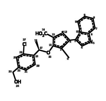 Cc1c(-c2cnc3ccccn23)sc(C(=O)O)c1O[C@H](C)c1ccc(CO)cc1Cl